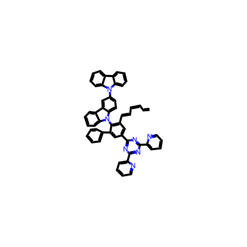 C=C/C=C\C=C\c1cc(-c2nc(-c3ccccn3)nc(-c3ccccn3)n2)cc(-c2ccccc2)c1-n1c2ccccc2c2cc(-n3c4ccccc4c4ccccc43)ccc21